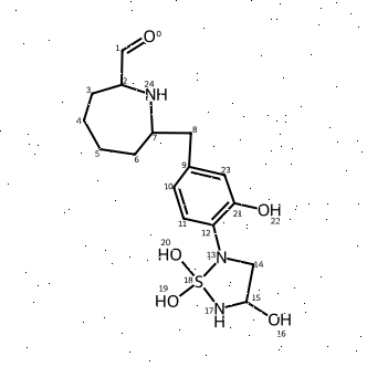 O=CC1CCCCC(Cc2ccc(N3CC(O)NS3(O)O)c(O)c2)N1